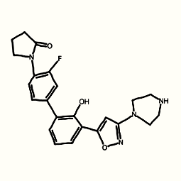 O=C1CCCN1c1ccc(-c2cccc(-c3cc(N4CCNCC4)no3)c2O)cc1F